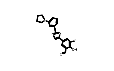 O=Cc1cc(-c2cnc(-c3cccc(N4CCCC4)c3)s2)cc(F)c1O